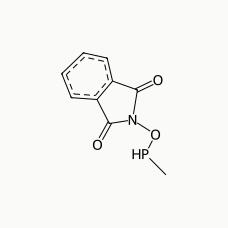 CPON1C(=O)c2ccccc2C1=O